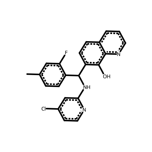 Cc1ccc(C(Nc2cc(Cl)ccn2)c2ccc3cccnc3c2O)c(F)c1